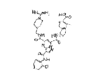 Cc1c(C(=O)O)ccc2c1CC[C@@H]2NC(=O)c1cc(C(=O)NCC2CCN(C(=N)N)CC2)nc2c(C(=O)Nc3ccccc3Cl)cnn12